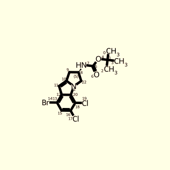 CC(C)(C)OC(=O)N[C@H]1Cc2cc3c(Br)cc(Cl)c(Cl)c3n2C1